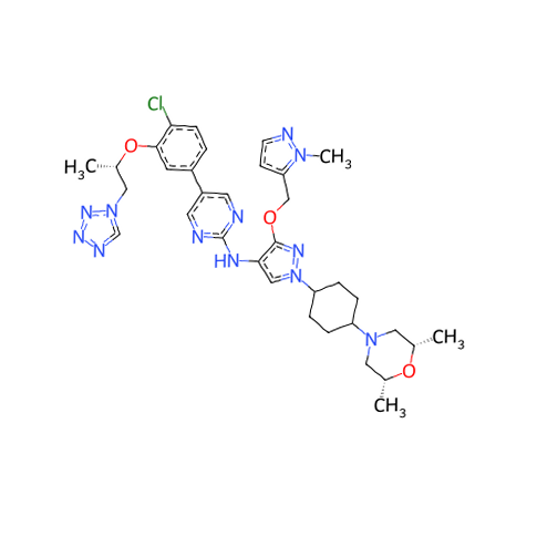 C[C@@H]1CN(C2CCC(n3cc(Nc4ncc(-c5ccc(Cl)c(O[C@@H](C)Cn6cnnn6)c5)cn4)c(OCc4ccnn4C)n3)CC2)C[C@H](C)O1